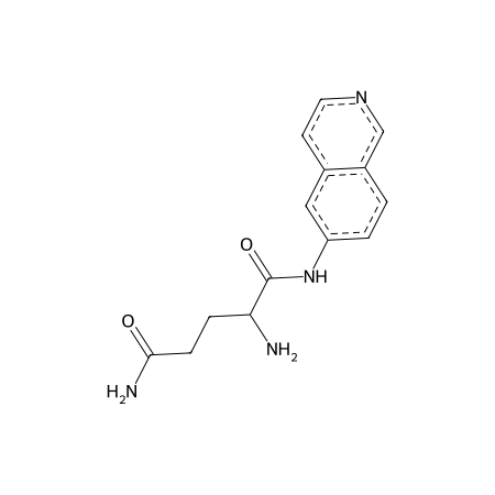 NC(=O)CCC(N)C(=O)Nc1ccc2cnccc2c1